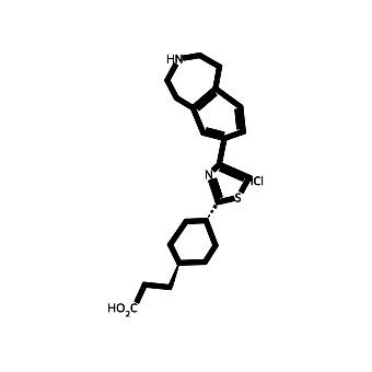 Cl.O=C(O)CC[C@H]1CC[C@H](c2nc(-c3ccc4c(c3)CCNCC4)cs2)CC1